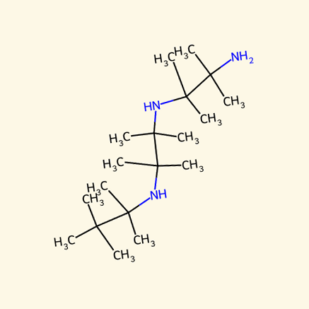 CC(C)(C)C(C)(C)NC(C)(C)C(C)(C)NC(C)(C)C(C)(C)N